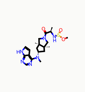 COS(=O)N[C@H](C)C(=O)N1C[C@]2(C)C[C@@H](N(C)c3ncnc4[nH]ccc34)C[C@]2(C)C1